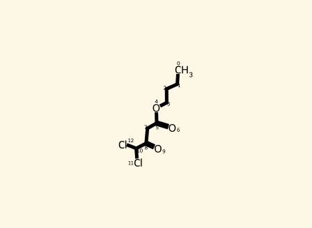 CCCCOC(=O)CC(=O)C(Cl)Cl